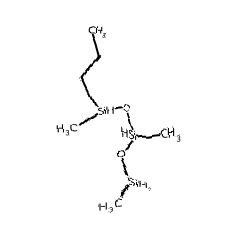 CCC[SiH](C)O[SiH](C)O[SiH2]C